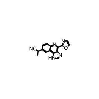 CC(C#N)c1ccc2nc(-c3ncco3)c3nc[nH]c3c2c1